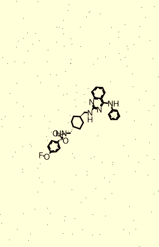 O=S(=O)(NC[C@H]1CC[C@H](CNc2nc(Nc3ccccc3)c3ccccc3n2)CC1)c1ccc(OF)cc1